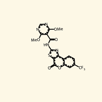 COc1ncnc(OC)c1C(=O)Nc1nc2c(s1)c(=O)oc1cc(C(F)(F)F)ccc12